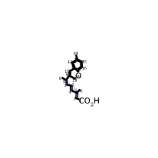 C/C(=C/C=C/C(C)=C/C(=O)O)C1=Cc2cc(C)ccc2OC1